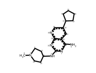 CN1CCC(Nc2nc(N)c3cc(C4CCCC4)cnc3n2)CC1